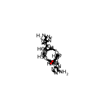 Nc1ncnc2c1ncn2[C@@H]1O[C@@H]2CCO[PH](=O)O[C@@H]3[C@H](O)[C@@H](CO[P@@](=O)(S)O[C@H]2[C@H]1O)O[C@H]3n1cnc2c(N)ncnc21